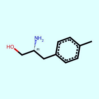 Cc1ccc(C[C@@H](N)CO)cc1